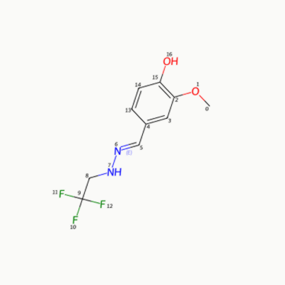 COc1cc(/C=N/NCC(F)(F)F)ccc1O